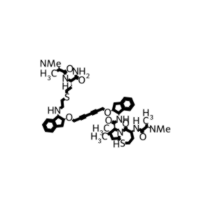 CN[C@@H](C)C(=O)N[C@@H](CCSCCN[C@H]1c2ccccc2C[C@H]1OCC#CC#CCO[C@@H]1Cc2ccccc2[C@@H]1NC(=O)[C@H]1N2C(=O)[C@@H](NC(=O)[C@H](C)NC)CCS[C@H]2CC1(C)C)C(N)=O